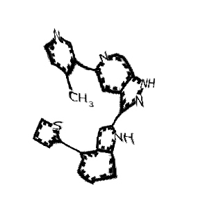 Cc1ccncc1-c1cc2c(-c3cc4c(-c5cccs5)cccc4[nH]3)n[nH]c2cn1